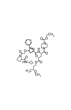 CCOC(=O)N1CCN(C(=O)C(CCC(=O)OCCC(C)OC)NC(=O)c2cc(OCC(=O)N3CCCC3C(=O)NC3CCC3)n(-c3ccccc3)n2)CC1